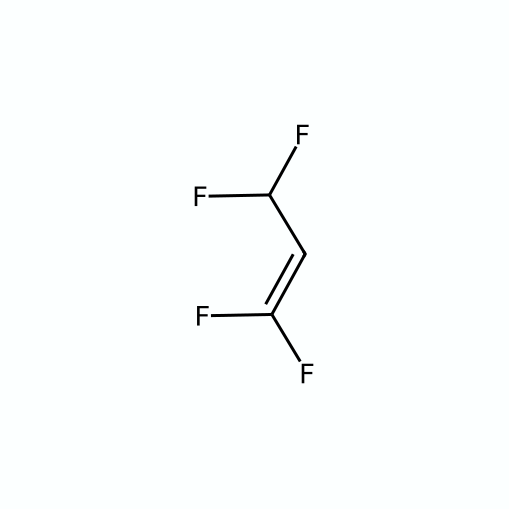 FC(F)=CC(F)F